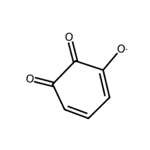 [O]C1=CC=CC(=O)C1=O